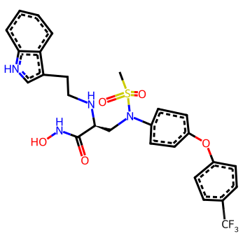 CS(=O)(=O)N(C[C@H](NCCc1c[nH]c2ccccc12)C(=O)NO)c1ccc(Oc2ccc(C(F)(F)F)cc2)cc1